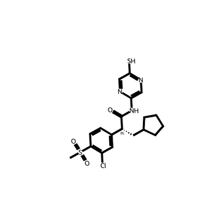 CS(=O)(=O)c1ccc([C@@H](CC2CCCC2)C(=O)Nc2cnc(S)cn2)cc1Cl